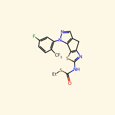 CCSC(=O)Nc1nc2c(s1)-c1c(cnn1-c1cc(F)ccc1C(F)(F)F)C2